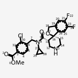 COC(=O)c1ccc(CN(C(=O)[C@H]2CNCC[C@@]23OCc2cc(F)c(F)cc23)C2CC2)c(Cl)c1